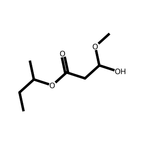 CCC(C)OC(=O)CC(O)OC